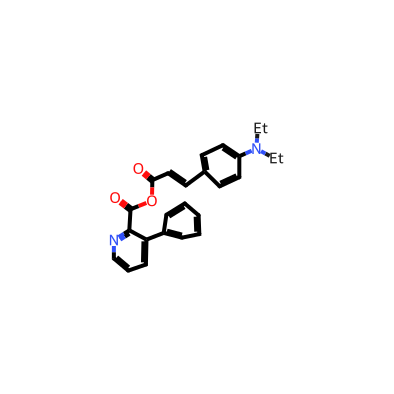 CCN(CC)c1ccc(/C=C/C(=O)OC(=O)c2ncccc2-c2ccccc2)cc1